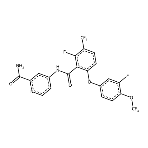 NC(=O)c1cc(NC(=O)c2c(Oc3ccc(OC(F)(F)F)c(F)c3)ccc(C(F)(F)F)c2F)ccn1